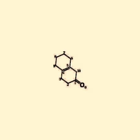 O=C1CCC2=C(CCCC2)C1